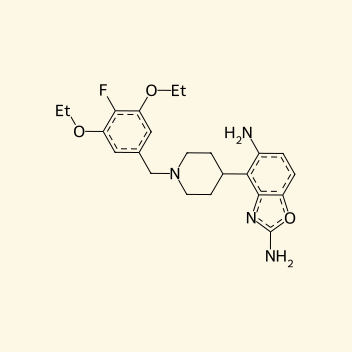 CCOc1cc(CN2CCC(c3c(N)ccc4oc(N)nc34)CC2)cc(OCC)c1F